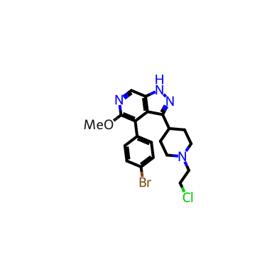 COc1ncc2[nH]nc(C3CCN(CCCl)CC3)c2c1-c1ccc(Br)cc1